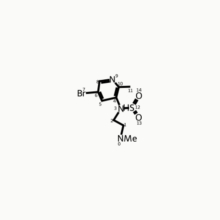 CNCCN(c1cc(Br)cnc1C)[SH](=O)=O